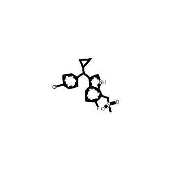 CS(=O)(=O)Cc1c(F)ccc2c(C(c3ccc(Cl)cc3)C3CC3)c[nH]c12